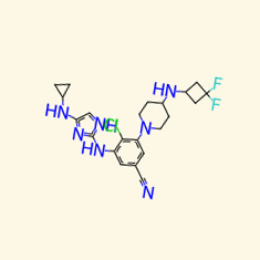 N#Cc1cc(Nc2nc(NC3CC3)c[nH]2)c(Cl)c(N2CCC(NC3CC(F)(F)C3)CC2)c1